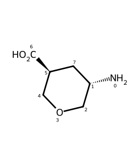 N[C@@H]1COC[C@@H](C(=O)O)C1